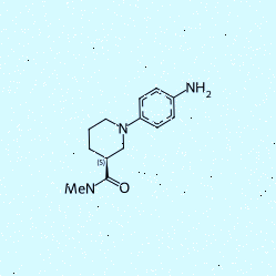 CNC(=O)[C@H]1CCCN(c2ccc(N)cc2)C1